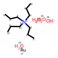 CCC[N+](CCC)(CCC)CCC.O.O.O.[OH-].[Ru]